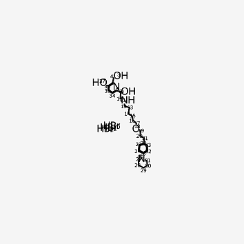 Br.Br.Br.OCc1nc(C(O)CNCCCCCCOCCCc2ccc(N3CCCCC3)cc2)ccc1O